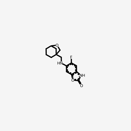 O=c1[nH]c2cc(F)c(NCC34CCCC(C3)OC4)cc2o1